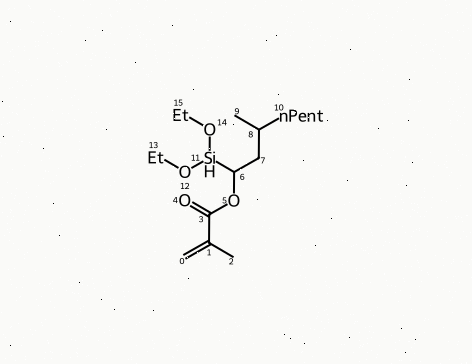 C=C(C)C(=O)OC(CC(C)CCCCC)[SiH](OCC)OCC